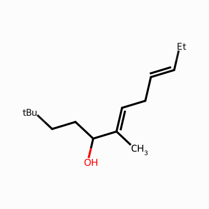 CC/C=C/C/C=C(\C)C(O)CCC(C)(C)C